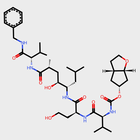 CC(C)C[C@H](NC(=O)[C@H](CCO)NC(=O)[C@@H](NC(=O)O[C@@H]1C[C@@H]2CCO[C@@H]2C1)C(C)C)[C@@H](O)C[C@@H](C)C(=O)N[C@H](C(=O)NCc1ccccc1)C(C)C